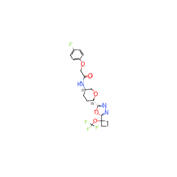 O=C(COc1ccc(F)cc1)N[C@@H]1CC[C@@H](c2nnc(C3(OC(F)(F)F)CCC3)o2)OC1